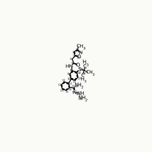 Cc1cc(CC(=O)Nc2cc(-c3ccccc3/C(N)=N/NN)ccc2SC(C)(C)C)on1